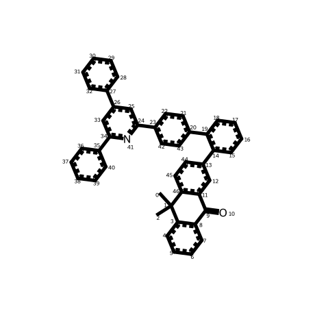 CC1(C)c2ccccc2C(=O)c2cc(-c3ccccc3-c3ccc(-c4cc(-c5ccccc5)cc(-c5ccccc5)n4)cc3)ccc21